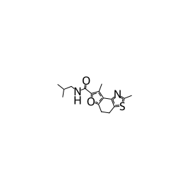 Cc1nc2c(s1)CCc1oc(C(=O)NCC(C)C)c(C)c1-2